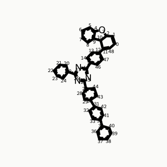 C1=CC2Oc3ccccc3C2C(c2ccc(-c3nc(-c4ccccc4)nc(-c4ccc(-c5ccc(-c6ccccc6)cc5)cc4)n3)cc2)=C1